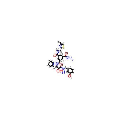 COc1cccc(CNC[C@@H](O)[C@H](Cc2ccccc2)NC(=O)c2cc(C(N)=O)cc(C(=O)N(C)Cc3nc(C)cs3)c2)c1